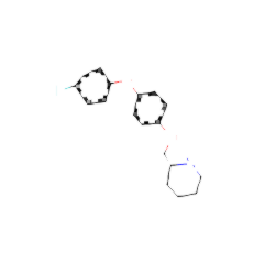 Fc1ccc(Oc2ccc(OC[C@@H]3CCCCN3)cc2)cc1